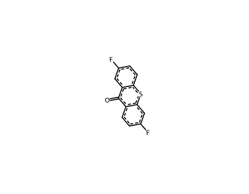 O=c1c2ccc(F)cc2sc2ccc(F)cc12